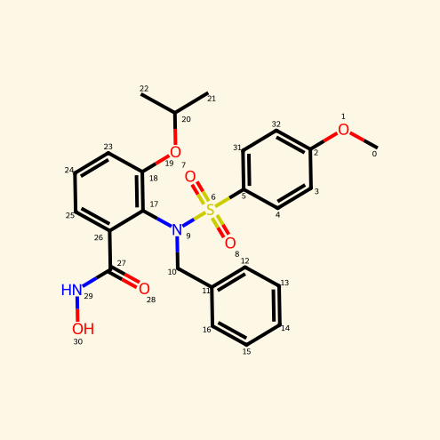 COc1ccc(S(=O)(=O)N(Cc2ccccc2)c2c(OC(C)C)cccc2C(=O)NO)cc1